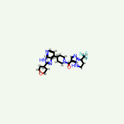 O=C(c1cnn2c1NCCC2C(F)(F)F)N1CCC(c2ccnc3[nH]c(C4CCOCC4)nc23)CC1